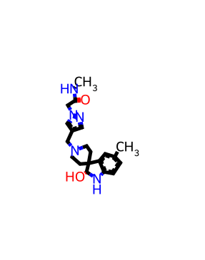 CNC(=O)Cn1cc(CN2CCC3(CC2)c2cc(C)ccc2NC3O)cn1